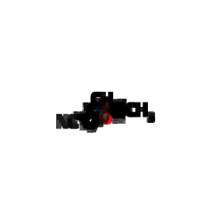 Cc1ccc(S(=O)(=O)n2c(C)cc3c(CC#N)cccc32)cc1